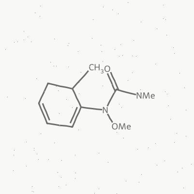 CNC(=O)N(OC)C1=CC=CCC1C